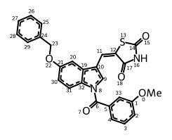 COc1cccc(C(=O)n2cc(/C=C3/SC(=O)NC3=O)c3cc(OCc4ccccc4)ccc32)c1